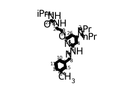 CCCN(CCC)c1cc(N/N=C/c2cccc(C)c2)nc(OCCNC(=O)NC(C)C)c1